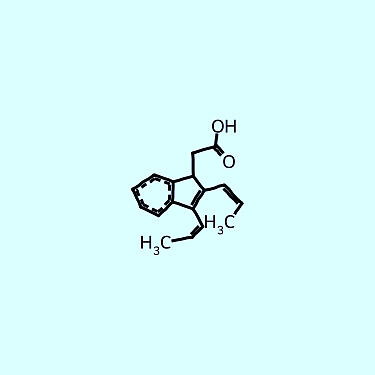 C/C=C\C1=C(/C=C\C)C(CC(=O)O)c2ccccc21